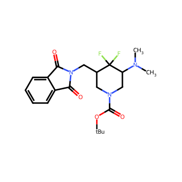 CN(C)C1CN(C(=O)OC(C)(C)C)CC(CN2C(=O)c3ccccc3C2=O)C1(F)F